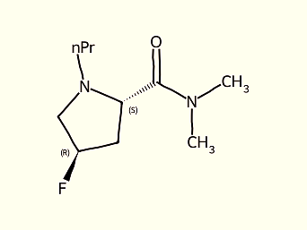 CCCN1C[C@H](F)C[C@H]1C(=O)N(C)C